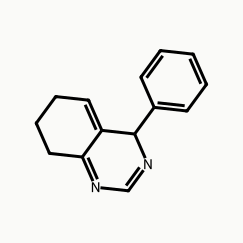 C1=NC(c2ccccc2)C2=CCCCC2=N1